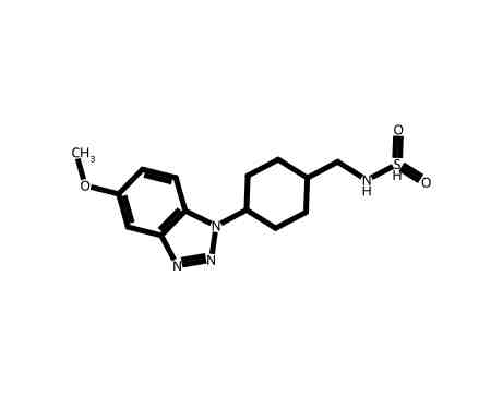 COc1ccc2c(c1)nnn2C1CCC(CN[SH](=O)=O)CC1